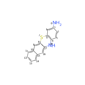 Nc1ccc2c(c1)Sc1cc3ccccc3cc1N2